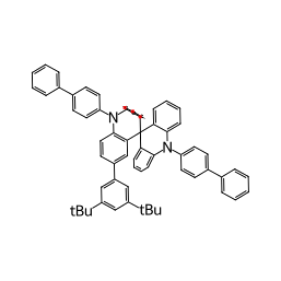 CC(C)(C)c1cc(-c2ccc3c(c2)C2(c4ccccc4N(c4ccc(-c5ccccc5)cc4)c4ccccc42)c2ccccc2N3c2ccc(-c3ccccc3)cc2)cc(C(C)(C)C)c1